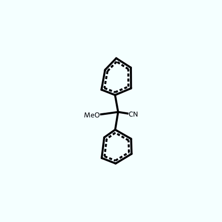 COC(C#N)(c1ccccc1)c1ccccc1